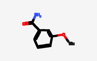 CC(C)(C)Oc1cccc(C(N)=O)c1